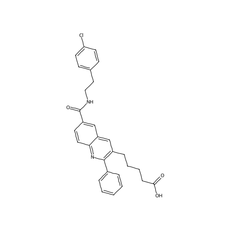 O=C(O)CCCCc1cc2cc(C(=O)NCCc3ccc(Cl)cc3)ccc2nc1-c1ccccc1